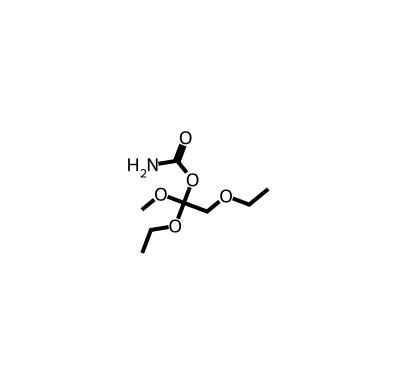 CCOCC(OC)(OCC)OC(N)=O